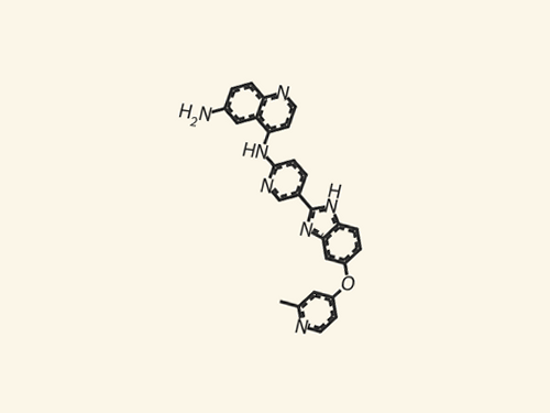 Cc1cc(Oc2ccc3[nH]c(-c4ccc(Nc5ccnc6ccc(N)cc56)nc4)nc3c2)ccn1